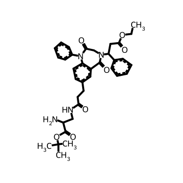 CCOC(=O)CC(c1ccccc1)N1CC(=O)N(c2ccccc2)c2ccc(CCC(=O)NCC(N)C(=O)OC(C)(C)C)cc2C1=O